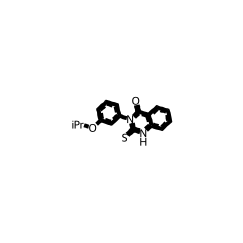 CC(C)Oc1cccc(-n2c(=S)[nH]c3ccccc3c2=O)c1